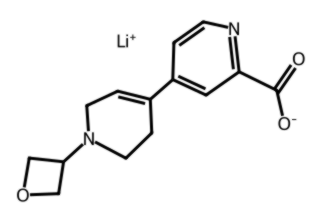 O=C([O-])c1cc(C2=CCN(C3COC3)CC2)ccn1.[Li+]